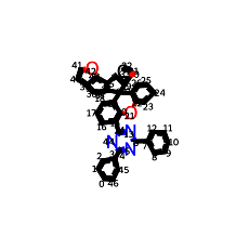 c1ccc(-c2nc(-c3ccccc3)nc(-c3cccc4c3Oc3ccccc3C43c4ccccc4-c4c3ccc3ccoc43)n2)cc1